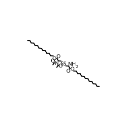 CCCCCCCCCCCCCCOC(=O)C(N)CSSCC(C(=O)OCCCCCCCCCCCCCC)N(C(C)=O)C(C)=O